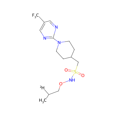 [2H]C(C)CONS(=O)(=O)CC1CCN(c2ncc(C(F)(F)F)cn2)CC1